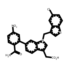 NC(=O)c1ccc([N+](=O)[O-])cc1-c1ccc2c(CC(=O)O)cn(Cc3csc4ccc(Cl)cc34)c2c1